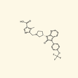 Cn1c(C(=O)O)cnc1CN1CC[C@H](n2c(=O)n(-c3ccc(OC(F)(F)F)cc3)c3cccnc32)C1